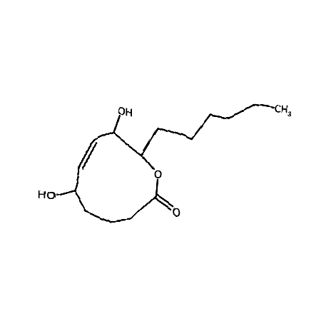 CCCCCCC1OC(=O)CCCC(O)C=CC1O